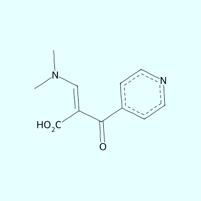 CN(C)C=C(C(=O)O)C(=O)c1ccncc1